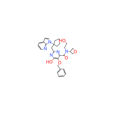 O=C(c1nc(CC2(n3ccc4cccnc43)CCCC2)nc(O)c1OCc1ccccc1)N(CCO)C1COC1